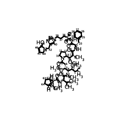 CC[C@H](C)[C@@H]([C@@H](CC(=O)N1CCC[C@H]1[C@H](OC)[C@@H](C)C(=O)N[C@@H](Cc1ccccc1)C(=O)NS(=O)(=O)CCCn1cc(CN2CC=CC2O)nn1)OC)N(C)C(=O)[C@@H](NC(=O)[C@@H]1[C@H]2CC[C@H](C2)N1C)C(C)C